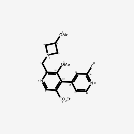 CCOC(=O)c1cnc(CN2CC(OC)C2)c(OC)c1-c1ccnc(Cl)c1